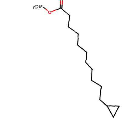 CCCCCCCCCCOC(=O)CCCCCCCCCCC1CC1